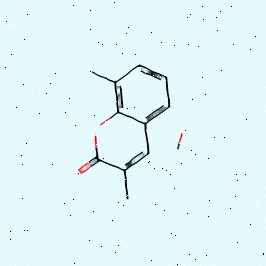 CCCc1cccc2cc(C)c(=O)oc12.CCO